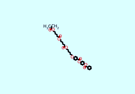 C=C(C)C(=O)OCCCCCC(=O)OCCCCCC(=O)OCCCCCCOc1ccc(C(=O)Oc2ccc(OC(=O)c3ccccc3)cc2)cc1